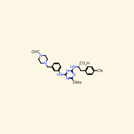 COc1nc(Nc2cccc(CN3CCN(C=O)CC3)c2)nc(N[C@@H](Cc2ccc(C#N)cc2)C(=O)O)n1